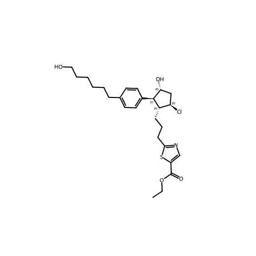 CCOC(=O)c1cnc(CCC[C@@H]2[C@@H](c3ccc(CCCCCCO)cc3)[C@H](O)C[C@H]2Cl)s1